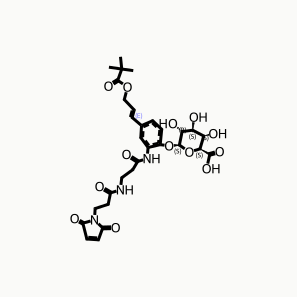 CC(C)(C)C(=O)OC/C=C/c1ccc(O[C@@H]2O[C@H](C(=O)O)[C@@H](O)[C@H](O)[C@H]2O)c(NC(=O)CCNC(=O)CCN2C(=O)C=CC2=O)c1